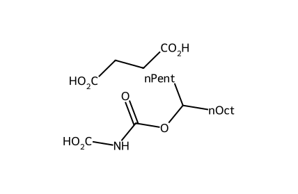 CCCCCCCCC(CCCCC)OC(=O)NC(=O)O.O=C(O)CCC(=O)O